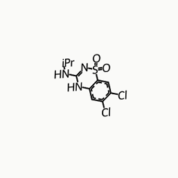 CC(C)NC1=NS(=O)(=O)c2cc(Cl)c(Cl)cc2N1